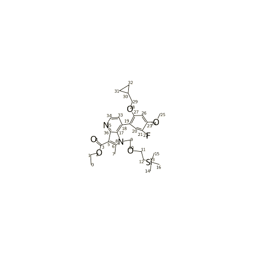 CCOC(=O)c1c(C)n(COCC[Si](C)(C)C)c2c(-c3cc(F)c(OC)cc3OCC3CC3)ccnc12